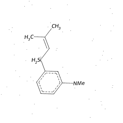 CNc1cccc([SiH2]C=C(C)C)c1